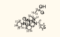 CC(c1ccsc1)N(C)C(=O)N(C)[C@@H](C/C=C/C(=O)O)CNC(=O)N(c1ccccc1)c1ccccc1